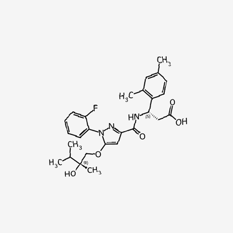 Cc1ccc([C@H](CC(=O)O)NC(=O)c2cc(OC[C@](C)(O)C(C)C)n(-c3ccccc3F)n2)c(C)c1